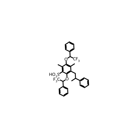 Cc1c(CC(C)c2ccccc2)c(OC(c2ccccc2)C(F)(F)F)c(S(=O)(=O)O)c(C)c1OC(c1ccccc1)C(F)(F)F